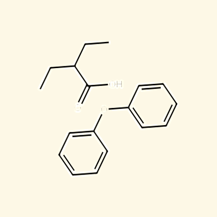 CCC(CC)C(=O)O.c1ccc(Oc2ccccc2)cc1